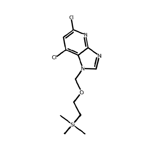 C[Si](C)(C)CCOCn1cnc2nc(Cl)cc(Cl)c21